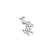 Cc1c(C(=O)N[C@H]2CC[C@H](C(=O)O)CC2)cc(-c2cc(C(C)(C)C)c3c(c2)C2(CCO3)CC2)n1CC1CCCCC1